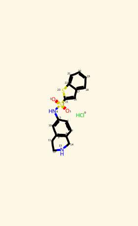 Cl.O=S(=O)(Nc1ccc2c(c1)CCNC2)c1cc2ccccc2s1